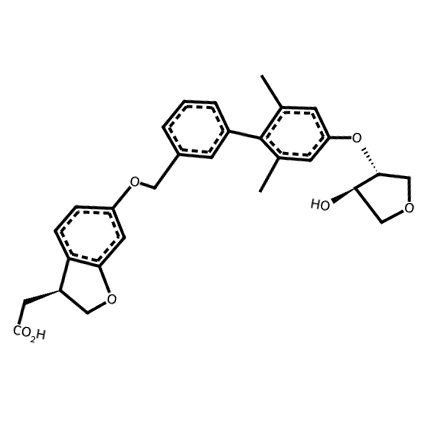 Cc1cc(O[C@@H]2COC[C@H]2O)cc(C)c1-c1cccc(COc2ccc3c(c2)OC[C@H]3CC(=O)O)c1